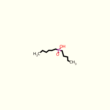 CCCCCCP(=O)(O)CCCCC